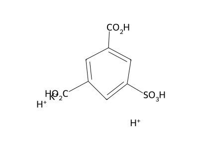 O=C(O)c1cc(C(=O)O)cc(S(=O)(=O)O)c1.[H+].[H+].[K+]